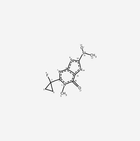 Cn1c(C2(F)CC2)nc2sc([S+](C)[O-])nc2c1=O